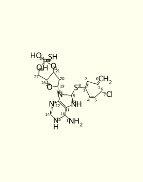 C=C/C=C(\C=C/CCl)SC1NC2=C(N=CNC2N)N1[C@H]1CC2O[PH](O)(S)OCC2O1